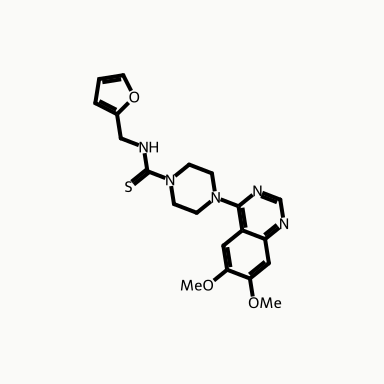 COc1cc2ncnc(N3CCN(C(=S)NCc4ccco4)CC3)c2cc1OC